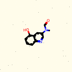 CN(C=O)c1cnc2cccc(O)c2c1